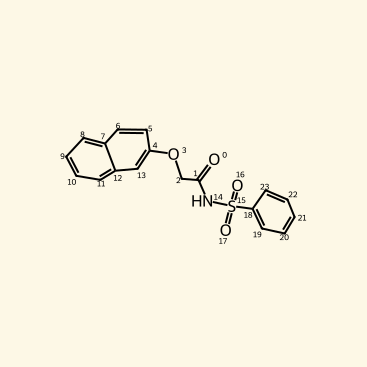 O=C(COc1ccc2ccccc2c1)NS(=O)(=O)c1ccccc1